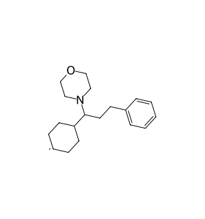 [CH]1CCC(C(CCc2ccccc2)N2CCOCC2)CC1